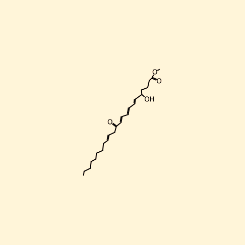 CCCCCCCCC=CCC(=O)C=CC=CC=CC(O)CCCC(=O)OC